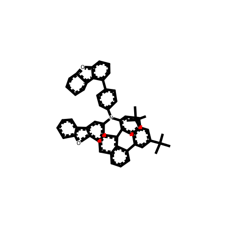 CC(C)(C)c1cc(-c2cccc3cccc(-c4ccccc4N(c4ccc(-c5cccc6oc7ccccc7c56)cc4)c4ccc5oc6ccccc6c5c4)c23)cc(C(C)(C)C)c1